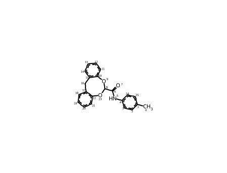 Cc1ccc(NC(=O)C2Oc3ccccc3Cc3ccccc3O2)cc1